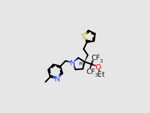 CCOC(C(F)(F)F)(C(F)(F)F)[C@]1(CCc2cccs2)CCN(Cc2ccc(C)nc2)C1